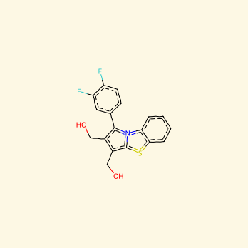 OCc1c(CO)c2sc3ccccc3n2c1-c1ccc(F)c(F)c1